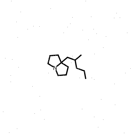 CCCC(C)CC12CCCN1CCC2